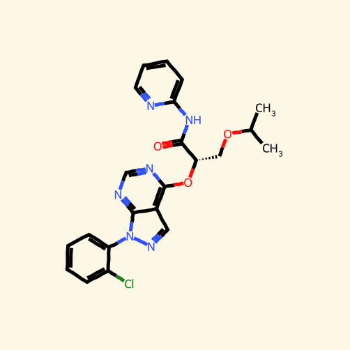 CC(C)OC[C@H](Oc1ncnc2c1cnn2-c1ccccc1Cl)C(=O)Nc1ccccn1